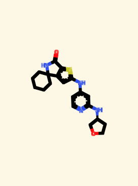 O=C1NC2(CCCCC2)c2cc(Nc3ccnc(N[C@H]4CCOC4)c3)sc21